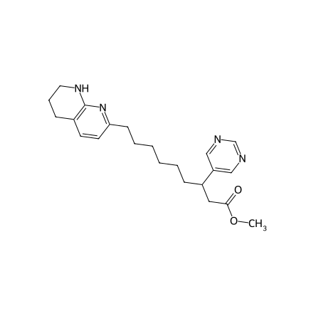 COC(=O)CC(CCCCCCc1ccc2c(n1)NCCC2)c1cncnc1